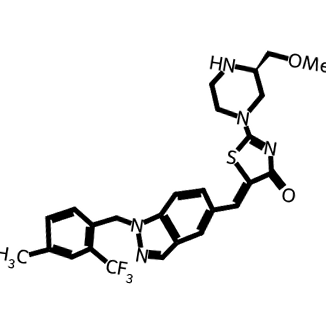 COC[C@H]1CN(C2=NC(=O)/C(=C/c3ccc4c(cnn4Cc4ccc(C)cc4C(F)(F)F)c3)S2)CCN1